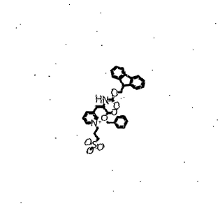 O=C(NC(Cc1ccc[n+](CCCS(=O)(=O)[O-])c1)C(=O)OCc1ccccc1)OCC1c2ccccc2-c2ccccc21